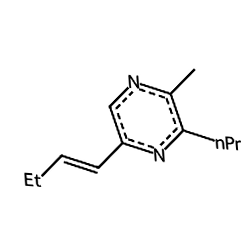 CCC=Cc1cnc(C)c(CCC)n1